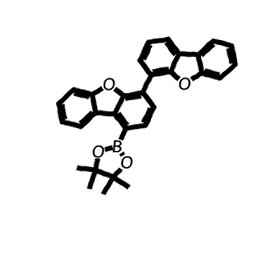 CC1(C)OB(c2ccc(-c3cccc4c3oc3ccccc34)c3oc4ccccc4c23)OC1(C)C